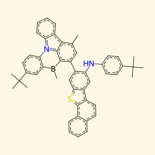 CB1c2cc(C(C)(C)C)ccc2-n2c3ccccc3c3c(C)cc(-c4cc5sc6c7ccccc7ccc6c5cc4Nc4ccc(C(C)(C)C)cc4)c1c32